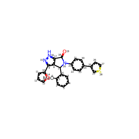 COc1ccccc1C1c2c(-c3ccco3)n[nH]c2C(=O)N1c1ccc(-c2ccsc2)cc1